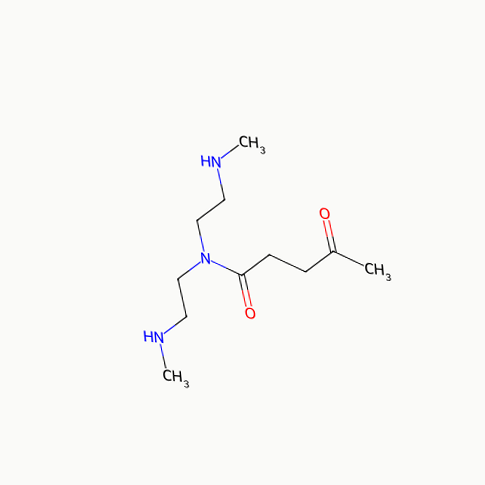 CNCCN(CCNC)C(=O)CCC(C)=O